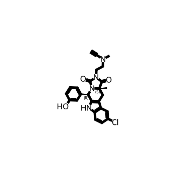 C#CN(C)CCN1C(=O)N2[C@H](c3cccc(O)c3)c3[nH]c4ccc(Cl)cc4c3C[C@@]2(C)C1=O